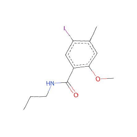 CCCNC(=O)c1cc(I)c(C)cc1OC